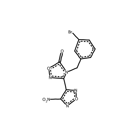 O=c1onc(-c2nonc2[N+](=O)[O-])n1Cc1cccc(Br)c1